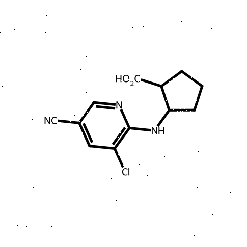 N#Cc1cnc(NC2CCCC2C(=O)O)c(Cl)c1